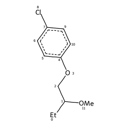 CCC(COc1ccc(Cl)cc1)OC